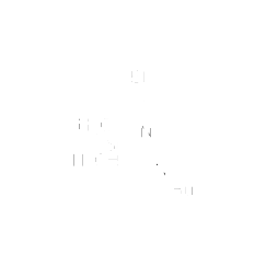 CCC=CN1CCN(C(C)(C)C)CC1[SiH](C)C